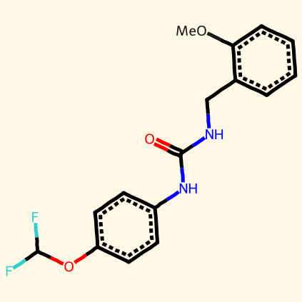 COc1ccccc1CNC(=O)Nc1ccc(OC(F)F)cc1